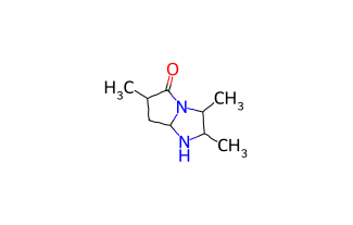 CC1CC2NC(C)C(C)N2C1=O